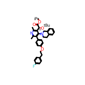 Cc1nc(C)c([C@H](OC(C)(C)C)C(=O)OC(C)C)c(N2CCc3ccccc3C2)c1-c1ccc(OCCc2ccc(F)cc2)cc1